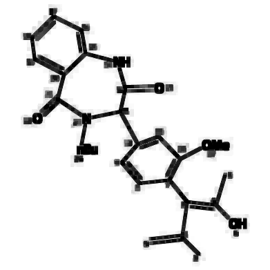 C=C(C)/C(=C(/C)O)c1ccc(C2C(=O)Nc3ccccc3C(=O)N2CCCC)cc1OC